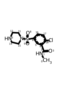 CNC(=O)c1cc(S(=O)(=O)N2CCNCC2)ccc1Cl